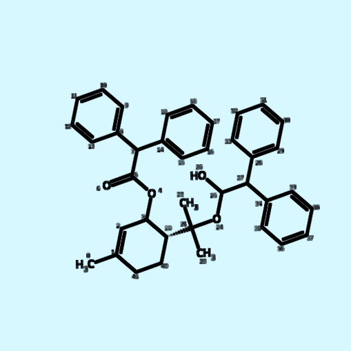 CC1=CC(OC(=O)C(c2ccccc2)c2ccccc2)[C@H](C(C)(C)OC(O)C(c2ccccc2)c2ccccc2)CC1